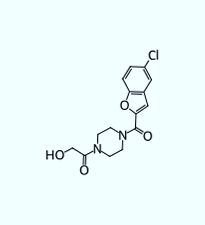 O=C(CO)N1CCN(C(=O)c2cc3cc(Cl)ccc3o2)CC1